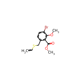 C=CSCc1ccc(Br)c(OC)c1C(=O)OC